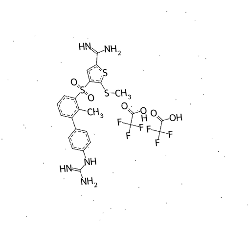 CSc1sc(C(=N)N)cc1S(=O)(=O)c1cccc(-c2ccc(NC(=N)N)cc2)c1C.O=C(O)C(F)(F)F.O=C(O)C(F)(F)F